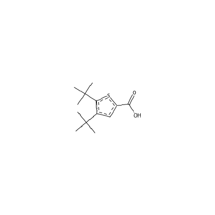 CC(C)(C)c1cc(C(=O)O)sc1C(C)(C)C